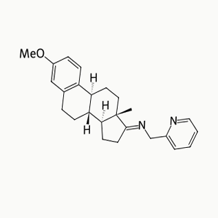 COc1ccc2c(c1)CC[C@@H]1[C@@H]2CC[C@]2(C)/C(=N/Cc3ccccn3)CC[C@@H]12